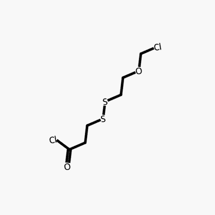 O=C(Cl)CCSSCCOCCl